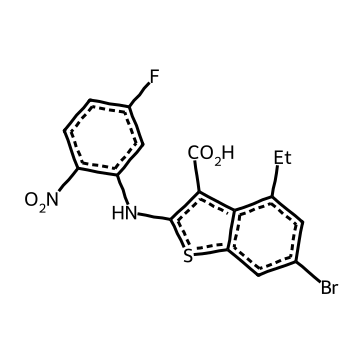 CCc1cc(Br)cc2sc(Nc3cc(F)ccc3[N+](=O)[O-])c(C(=O)O)c12